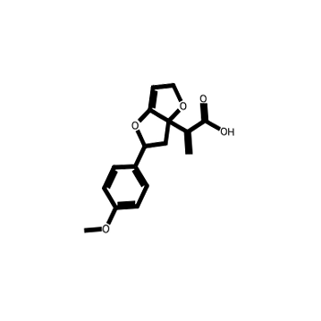 C=C(C(=O)O)C12CC(c3ccc(OC)cc3)OC1=CCO2